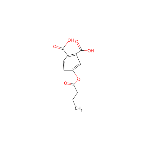 CCCC(=O)Oc1ccc(C(=O)O)c(C(=O)O)c1